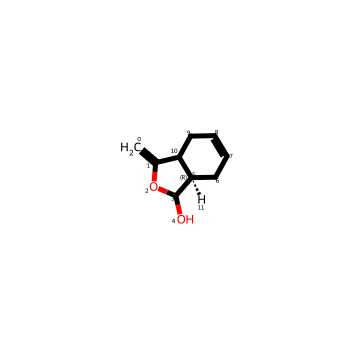 C=C1OC(O)[C@@H]2CC=CCC12